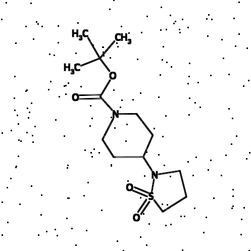 CC(C)(C)OC(=O)N1CCC(N2CCCS2(=O)=O)CC1